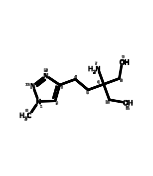 Cn1cc(CCC(N)(CO)CO)nn1